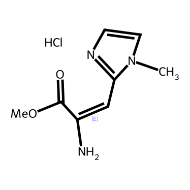 COC(=O)/C(N)=C\c1nccn1C.Cl